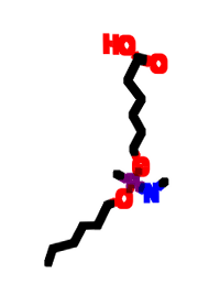 CCCCCCOP(C)(=NC)OCCCCCC(=O)O